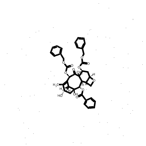 CC1=C2[C@@H](OC(=O)OCc3ccccc3)C(=O)[C@@]3(C)[C@@H]([C@@H]4CO[C@@H]4C[C@@H]3OC(=O)OCc3ccccc3)[C@H](OC(=O)c3ccccc3)[C@](O)(C[C@@H]1O)C2(C)C